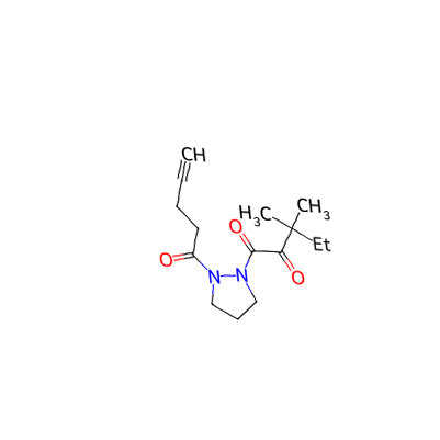 C#CCCC(=O)N1CCCN1C(=O)C(=O)C(C)(C)CC